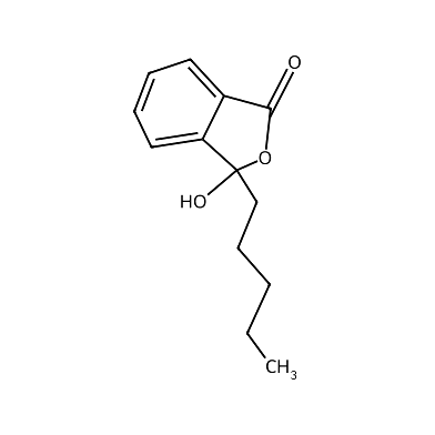 CCCCCC1(O)OC(=O)c2ccccc21